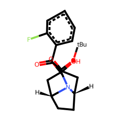 CC(C)(C)OC(=O)N1[C@@H]2CC[C@H]1CC(O)(C(=O)c1ccccc1F)C2